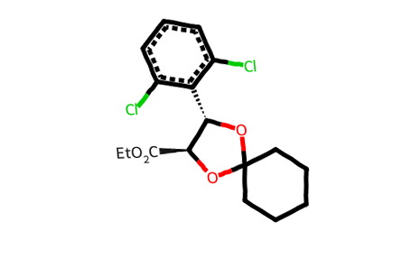 CCOC(=O)[C@@H]1OC2(CCCCC2)O[C@H]1c1c(Cl)cccc1Cl